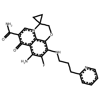 NC(=O)c1cn2c3c(c(NCCCc4ccccn4)c(F)c(N)c3c1=O)OCC21CC1